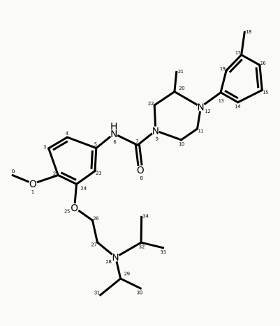 COc1ccc(NC(=O)N2CCN(c3cccc(C)c3)C(C)C2)cc1OCCN(C(C)C)C(C)C